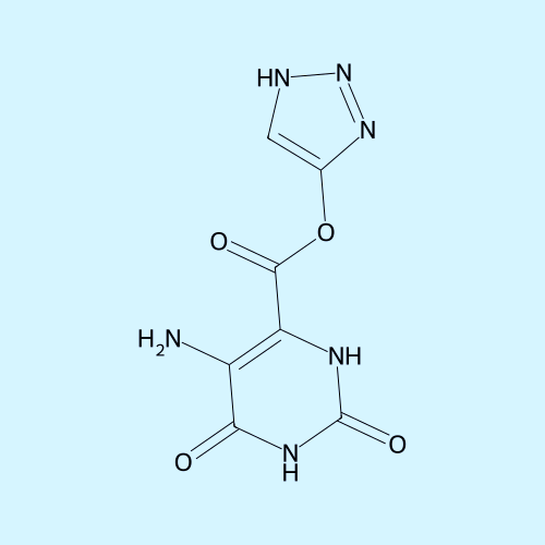 Nc1c(C(=O)Oc2c[nH]nn2)[nH]c(=O)[nH]c1=O